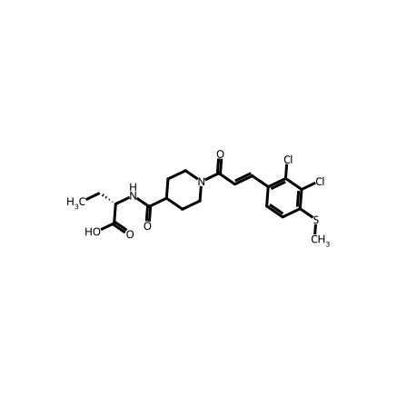 CC[C@H](NC(=O)C1CCN(C(=O)/C=C/c2ccc(SC)c(Cl)c2Cl)CC1)C(=O)O